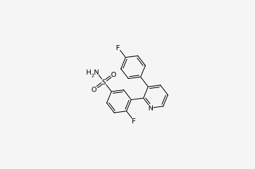 NS(=O)(=O)c1ccc(F)c(-c2ncccc2-c2ccc(F)cc2)c1